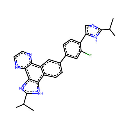 CC(C)c1ncc(-c2ccc(-c3ccc4c(c3)c3nccnc3c3nc(C(C)C)[nH]c43)cc2F)[nH]1